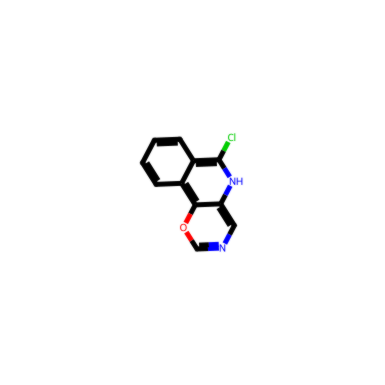 ClC1=c2ccccc2=C2OC=NC=C2N1